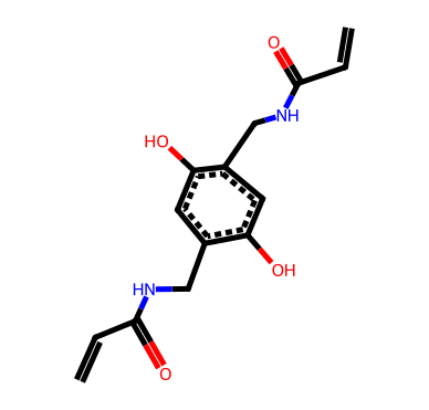 C=CC(=O)NCc1cc(O)c(CNC(=O)C=C)cc1O